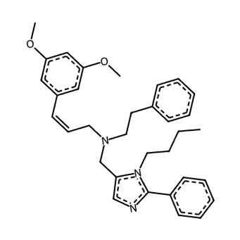 CCCCn1c(CN(C/C=C\c2cc(OC)cc(OC)c2)CCc2ccccc2)cnc1-c1ccccc1